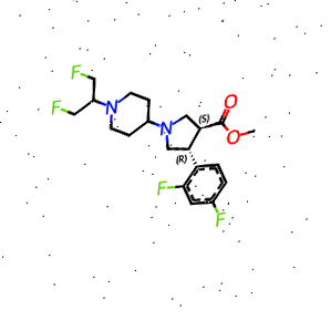 COC(=O)[C@@H]1CN(C2CCN(C(CF)CF)CC2)C[C@H]1c1ccc(F)cc1F